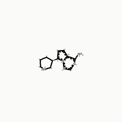 Nc1ncnn2c([C@@H]3CCCNC3)ccc12